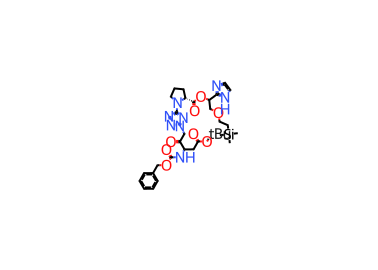 CC(C)(C)OC(=O)CC(NC(=O)OCc1ccccc1)C(=O)Cn1nnc(N2CCC[C@@H]2C(=O)OC(COCC[Si](C)(C)C)c2ncc[nH]2)n1